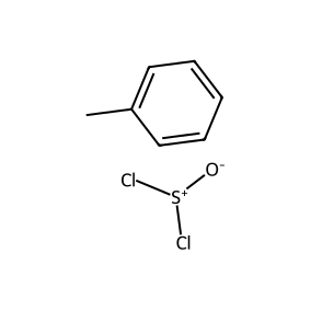 Cc1ccccc1.[O-][S+](Cl)Cl